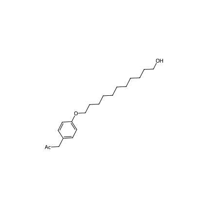 CC(=O)Cc1ccc(OCCCCCCCCCCCO)cc1